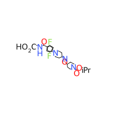 CC(C)OC(=O)N1CCC(ON=C2CCN(c3cc(F)c(C(=O)NCC(=O)O)cc3F)CC2)CC1